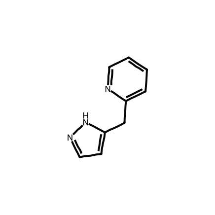 c1ccc(Cc2ccn[nH]2)nc1